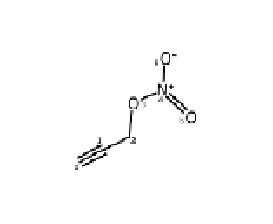 C#CCO[N+](=O)[O-]